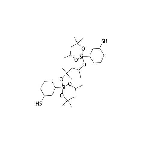 CC1CC(C)(C)O[Si](OC(C)CC(C)(C)O[Si]2(C3CCCC(S)C3)OC(C)CC(C)(C)O2)(C2CCCC(S)C2)O1